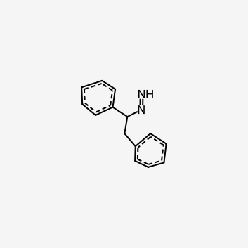 N=NC(Cc1ccccc1)c1ccccc1